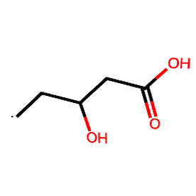 [CH2]CC(O)CC(=O)O